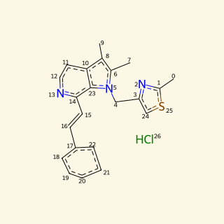 Cc1nc(Cn2c(C)c(C)c3ccnc(C=Cc4ccccc4)c32)cs1.Cl